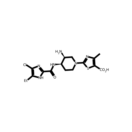 CCc1[nH]c(C(=O)N[C@@H]2CCN(c3nc(C)c(C(=O)O)s3)C[C@@H]2N)nc1Cl